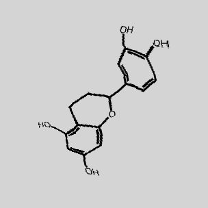 Oc1cc(O)c2c(c1)OC(c1ccc(O)c(O)c1)[CH]C2